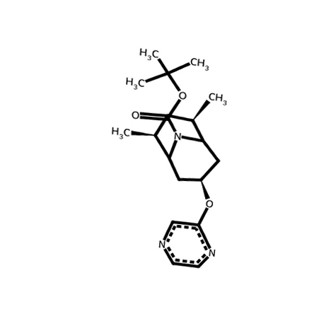 C[C@@H]1C[C@H](C)C2C[C@H](Oc3cnccn3)CC1N2C(=O)OC(C)(C)C